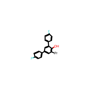 CC(C)c1cc(-c2ccc(F)cc2)cc(-c2ccc(F)cc2)c1O